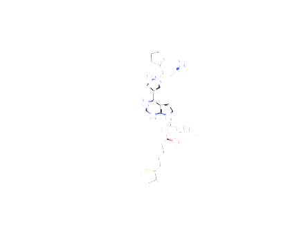 CC(OC(=O)CCCCC1CCSS1)n1ccc2c(-c3cnn([C@H](CC#N)C4CCCC4)c3)ncnc21